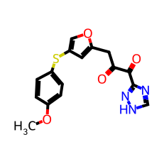 COc1ccc(Sc2coc(CC(=O)C(=O)c3nc[nH]n3)c2)cc1